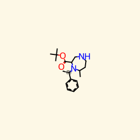 CC1CCNCC(C(=O)OC(C)(C)C)N1[C@H](C)c1ccccc1